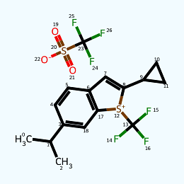 CC(C)c1ccc2cc(C3CC3)[s+](C(F)(F)F)c2c1.O=S(=O)([O-])C(F)(F)F